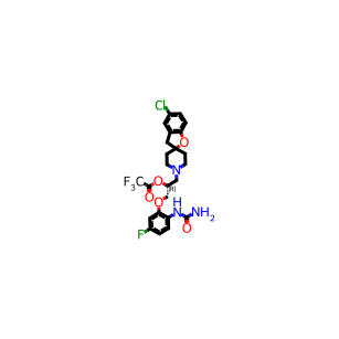 NC(=O)Nc1ccc(F)cc1OC[C@@H](CN1CCC2(CC1)Cc1cc(Cl)ccc1O2)OC(=O)C(F)(F)F